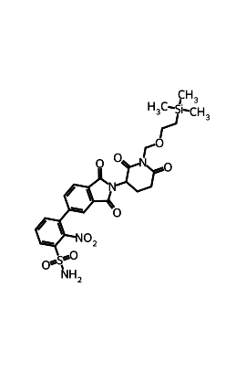 C[Si](C)(C)CCOCN1C(=O)CCC(N2C(=O)c3ccc(-c4cccc(S(N)(=O)=O)c4[N+](=O)[O-])cc3C2=O)C1=O